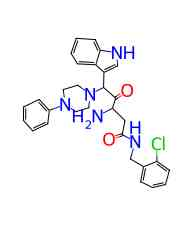 NC(CC(=O)NCc1ccccc1Cl)C(=O)C(c1c[nH]c2ccccc12)N1CCN(c2ccccc2)CC1